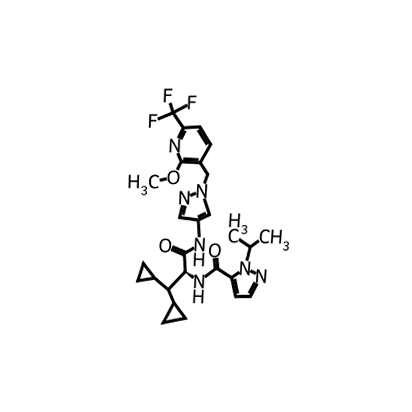 COc1nc(C(F)(F)F)ccc1Cn1cc(NC(=O)[C@@H](NC(=O)c2ccnn2C(C)C)C(C2CC2)C2CC2)cn1